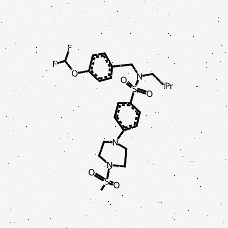 CC(C)CN(Cc1ccc(OC(F)F)cc1)S(=O)(=O)c1ccc(N2CCN(S(C)(=O)=O)CC2)cc1